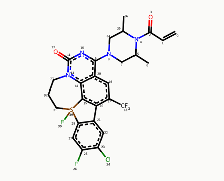 C=CC(=O)N1C(C)CN(c2nc(=O)n3c4c5c(c(C(F)(F)F)cc24)-c2cc(Cl)c(F)cc2S5(F)CCC3)CC1C